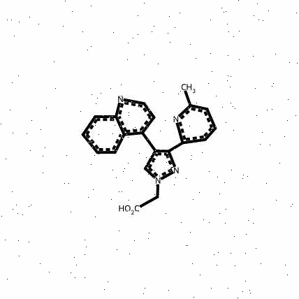 Cc1cccc(-c2nn(CC(=O)O)cc2-c2ccnc3ccccc23)n1